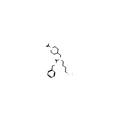 NCCCCN(CC1CCN(C(=O)O)CC1)C(=O)OCc1ccccc1